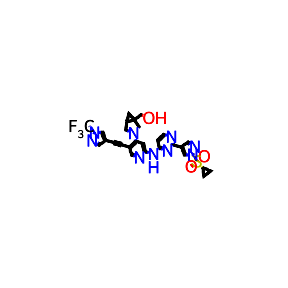 O=S(=O)(C1CC1)n1cc(-c2nccc(Nc3cc(N4CC5CC5(CO)C4)c(C#Cc4cnn(C(F)(F)F)c4)cn3)n2)cn1